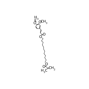 C=C(C)C(=O)OCCCCCCCCCCCCOC(=O)/C=C/c1ccc(OC)c(OC)c1